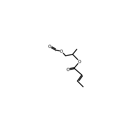 C/C=C/C(=O)OC(C)CO[C]=O